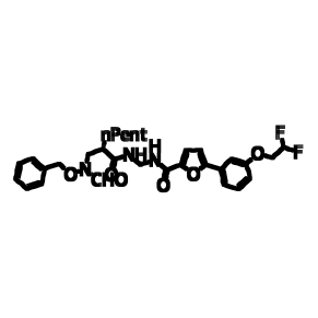 CCCCC[C@H](CN(C=O)OCc1ccccc1)C(=O)NCNC(=O)c1ccc(-c2cccc(OCC(F)F)c2)o1